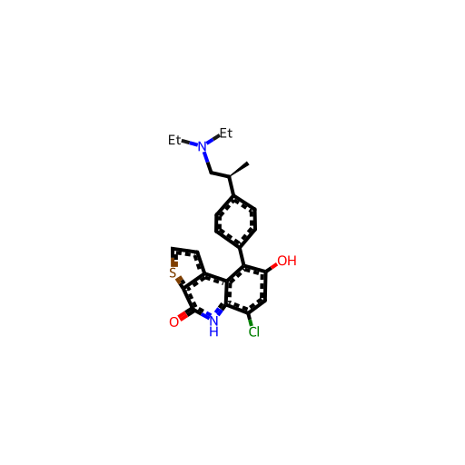 CCN(CC)C[C@@H](C)c1ccc(-c2c(O)cc(Cl)c3[nH]c(=O)c4sccc4c23)cc1